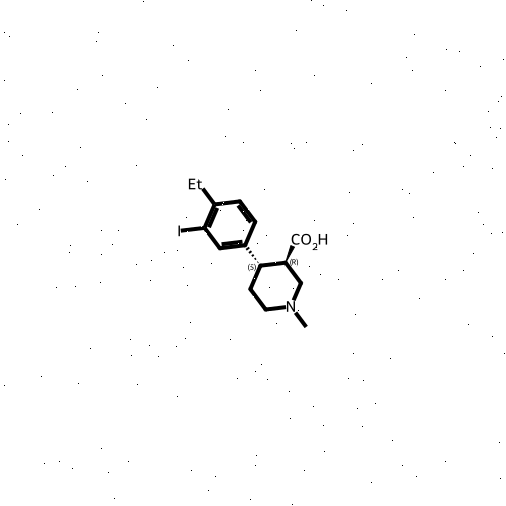 CCc1ccc([C@H]2CCN(C)C[C@@H]2C(=O)O)cc1I